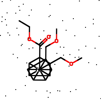 CCOC(=O)[C]12[CH]3[CH]4[CH]5[C]1(COC)[Fe]45321678[CH]2[CH]1[CH]6[C]7(COC)[CH]28